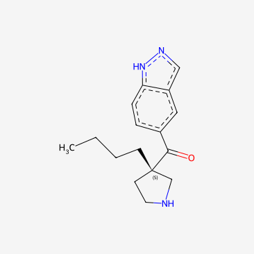 CCCC[C@]1(C(=O)c2ccc3[nH]ncc3c2)CCNC1